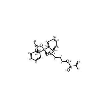 C=C(C)C(=O)OCCC[SiH](C)O[Si](O[SiH2]C)(c1ccccc1)c1ccccc1